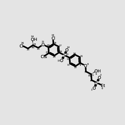 CCS(=O)(=O)C[C@@H](O)COc1ccc(S(=O)(=O)c2cc(Cl)c(OC[C@@H](O)CCl)c(Cl)c2)cc1